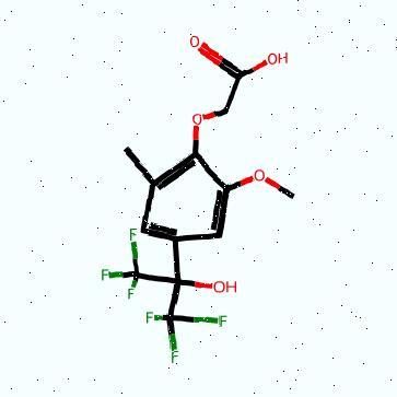 COc1cc(C(O)(C(F)(F)F)C(F)(F)F)cc(C)c1OCC(=O)O